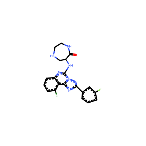 O=C1NCCNC[C@@H]1Nc1nc2cccc(Cl)c2c2nc(-c3cccc(F)c3)nn12